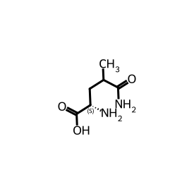 CC(C[C@H](N)C(=O)O)C(N)=O